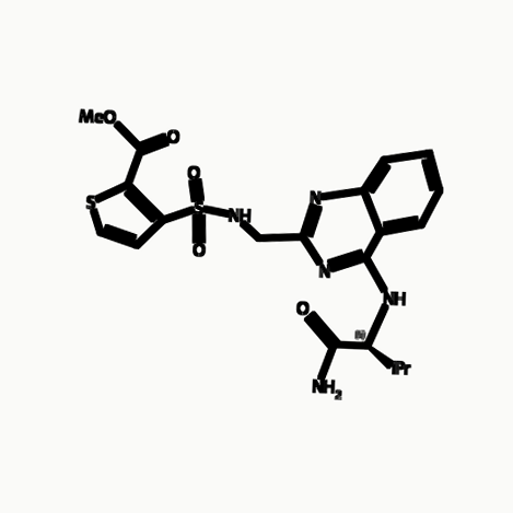 COC(=O)c1sccc1S(=O)(=O)NCc1nc(N[C@H](C(N)=O)C(C)C)c2ccccc2n1